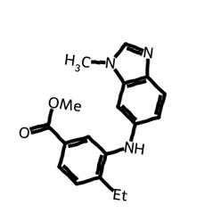 CCc1ccc(C(=O)OC)cc1Nc1ccc2ncn(C)c2c1